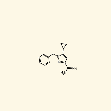 N=C(N)c1cc(C2CC2)n(Cc2ccccc2)n1